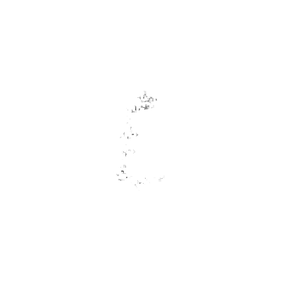 C=C(CCCSC1CC(=O)N(CCC(=O)NCCCC[C@H](NC(=O)CCC(=C)NCCOCCO)C(C)=O)C1=O)NCCCC(O)(P(=O)(O)O)P(=O)(O)O